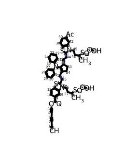 C#CC#CC#COC(=O)c1ccc2sc(/C=C/C3=C(N(c4ccccc4)c4ccccc4)C(=C/C=C4\Sc5ccc(C(C)=O)cc5N4CCC(C)SOOO)/CC3)[n+](CCC(C)SOOO)c2c1